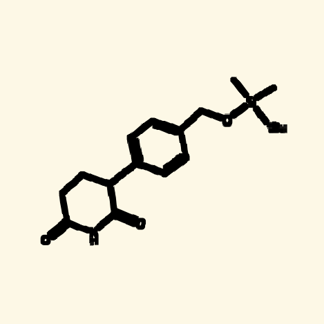 CC(C)(C)[Si](C)(C)OCc1ccc(C2CCC(=O)NC2=O)cc1